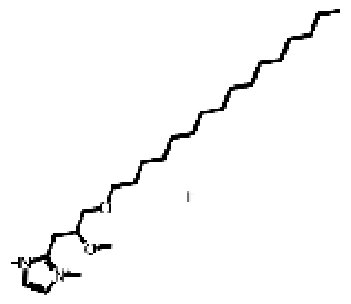 CCCCCCCCCCCCCCCCOCC(Cc1[nH]cc[n+]1C)OC.[I-]